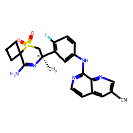 C[C@@]1(c2cc(Nc3nccc4cc(C#N)cnc34)ccc2F)CS(=O)(=O)C2(CCC2)C(N)=N1